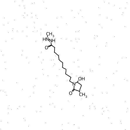 CNNC(=O)CCCCCCCCCCN1C(=O)C(C)CC1O